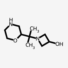 CC(C)(C1CNCCO1)N1CC(O)C1